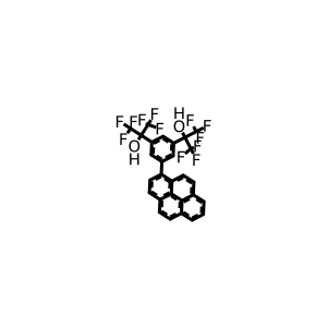 OC(c1cc(-c2ccc3ccc4cccc5ccc2c3c45)cc(C(O)(C(F)(F)F)C(F)(F)F)c1)(C(F)(F)F)C(F)(F)F